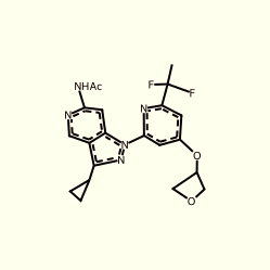 CC(=O)Nc1cc2c(cn1)c(C1CC1)nn2-c1cc(OC2COC2)cc(C(C)(F)F)n1